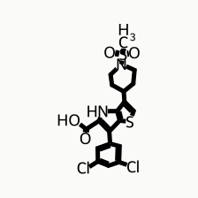 CS(=O)(=O)N1CCC(c2csc3c(-c4cc(Cl)cc(Cl)c4)c(C(=O)O)[nH]c23)CC1